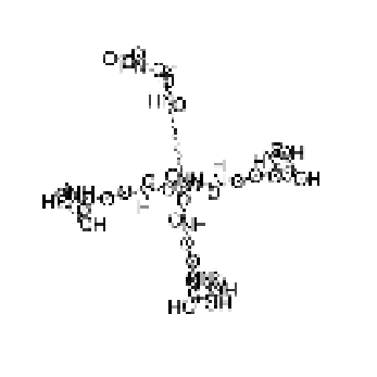 CC(=O)NC1C(O)CC(CO)OC1OCCOCCOCCNC(=O)CCOCC(COCCC(=O)NCCOCCOCCOC1OC(CO)CC(O)C1NC(C)=O)(COCCC(=O)NCCOCCOCCOC1OC(CO)C(O)C(O)C1NC(C)=O)NC(=O)CCCCCCCCCCC(=O)NCCO[C@@](C)(OCCNC(=O)OCc1ccccc1)C(C)(C)C